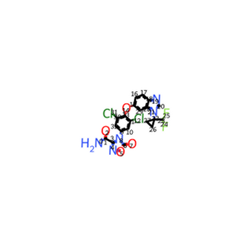 NC(=O)c1noc(=O)n1-c1cc(Cl)c(Oc2ccc3ncn(C4(C(F)F)CC4)c3c2)c(Cl)c1